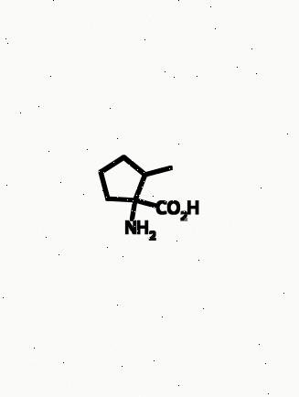 CC1CCCC1(N)C(=O)O